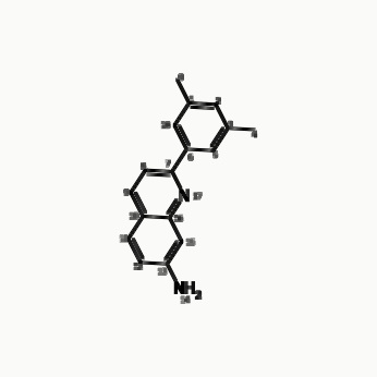 Cc1cc(C)cc(-c2ccc3ccc(N)cc3n2)c1